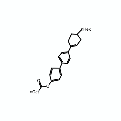 CCCCCCCCC(=O)Oc1ccc(-c2ccc(C3=CCC(CCCCCC)CC3)cc2)cc1